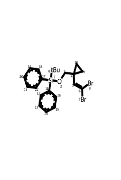 CC(C)(C)[Si](OCC1(C=C(Br)Br)CC1)(c1ccccc1)c1ccccc1